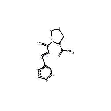 NC(=O)[C@@H]1CCCN1C(=O)/C=C/c1ccccc1